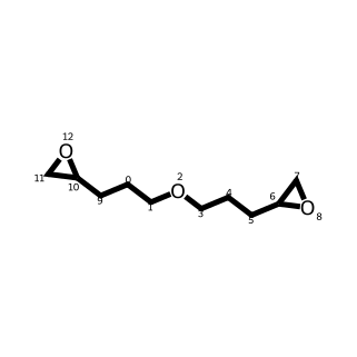 C(COCCCC1CO1)CC1CO1